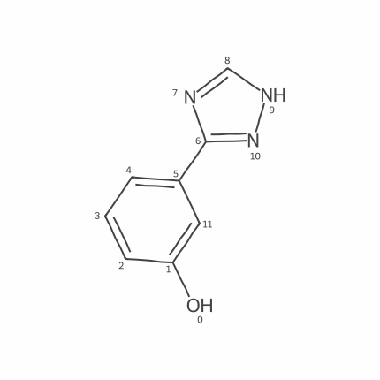 Oc1cccc(-c2nc[nH]n2)c1